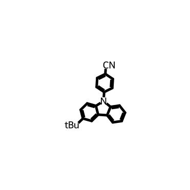 CC(C)(C)c1ccc2c(c1)c1ccccc1n2-c1ccc(C#N)cc1